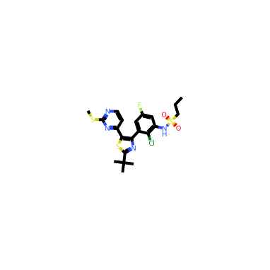 CCCS(=O)(=O)Nc1cc(F)cc(-c2nc(C(C)(C)C)sc2-c2ccnc(SC)n2)c1Cl